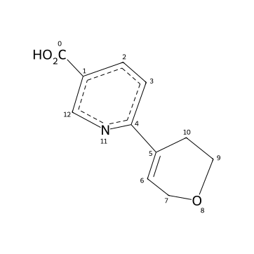 O=C(O)c1ccc(C2=CCOCC2)nc1